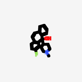 CN1CCC(C2(O)c3ccccc3C=Cc3ccc(F)cc32)CC1